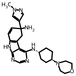 Cn1cc(C2(N)C=Cc3[nH]c4ncnc(N[C@H]5CC[C@H](N6CCOCC6)CC5)c4c3C2)cn1